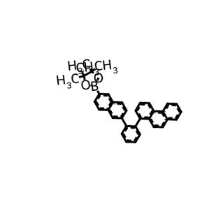 CC1(C)OB(c2ccc3cc(-c4ccccc4-c4cccc5c4ccc4ccccc45)ccc3c2)OC1(C)C